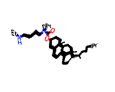 CCCN(CCCCNCC)C(=O)OC1CC[C@@]2(C)C(=CCC3C2CC[C@@]2(C)C3CC[C@@H]2[C@H](C)CCCC(C)C)C1